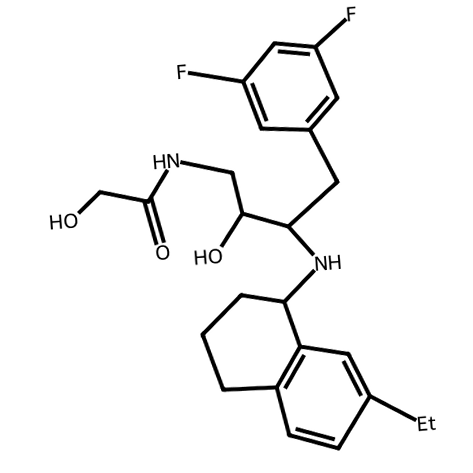 CCc1ccc2c(c1)C(NC(Cc1cc(F)cc(F)c1)C(O)CNC(=O)CO)CCC2